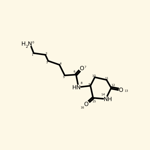 NCCCCCC(=O)NC1CCC(=O)NC1=O